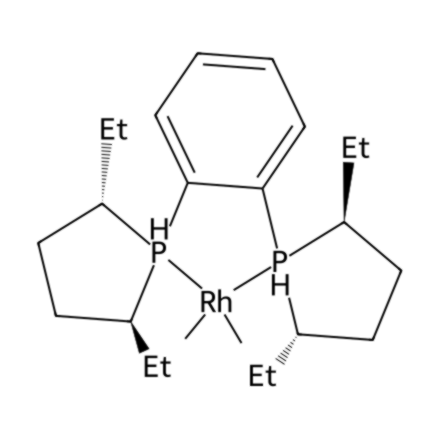 CC[C@H]1CC[C@H](CC)[PH]12c1ccccc1[PH]1([C@@H](CC)CC[C@@H]1CC)[Rh]2([CH3])[CH3]